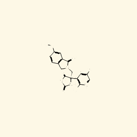 COc1ccc2c(c1)C(=O)N(C[C@@]1(c3cc(C)cnc3O)NC(=O)NC1=O)C2